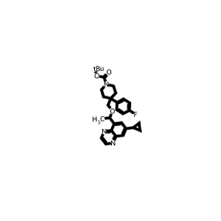 CC(OCC1(c2ccc(F)cc2)CCN(C(=O)OC(C)(C)C)CC1)c1cc(C2CC2)cc2nccnc12